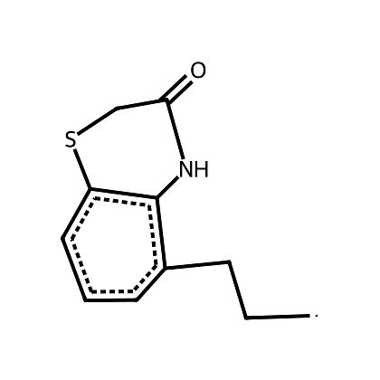 [CH2]CCc1cccc2c1NC(=O)CS2